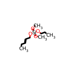 CCC=CCO[Si](OC)(OC)OCCC